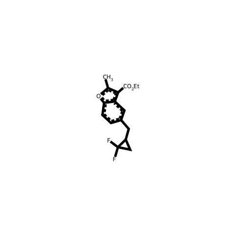 CCOC(=O)c1c(C)oc2ccc(CC3CC3(F)F)cc12